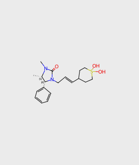 C[C@H]1[C@@H](c2ccccc2)N(CC=CC2CCS(O)(O)CC2)C(=O)N1C